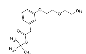 CC(C)(C)OC(=O)Cc1cccc(OCCOCCO)c1